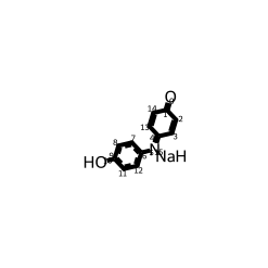 O=C1C=CC(=Nc2ccc(O)cc2)C=C1.[NaH]